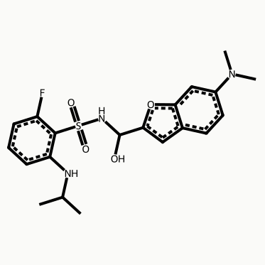 CC(C)Nc1cccc(F)c1S(=O)(=O)NC(O)c1cc2ccc(N(C)C)cc2o1